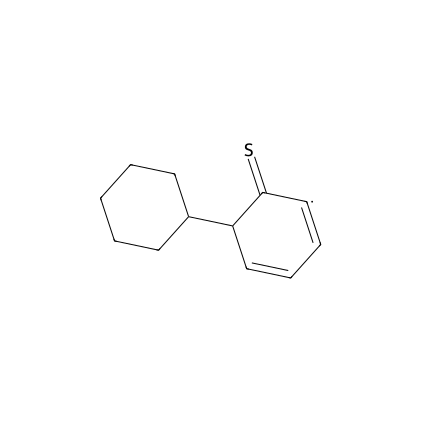 S=C1[C]=CC=CC1C1CCCCC1